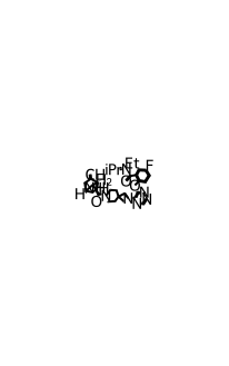 C=C1C[C@@H]2CC[C@H]1[C@@H](C(=O)N1CCC3(CC1)CN(c1ncnnc1Oc1ccc(F)cc1C(=O)N(CC)C(C)C)C3)N2